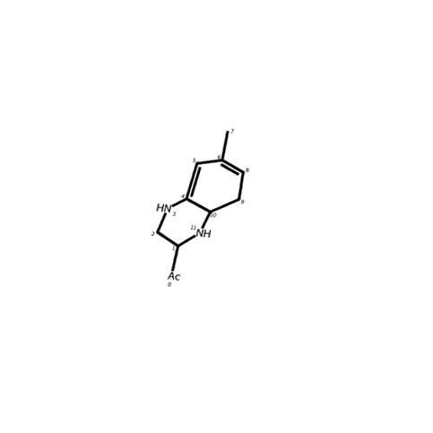 CC(=O)C1CNC2=CC(C)=CCC2N1